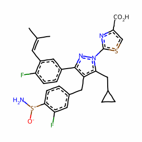 CC(C)=Cc1cc(-c2nn(-c3nc(C(=O)O)cs3)c(CC3CC3)c2Cc2ccc([S+](N)[O-])c(F)c2)ccc1F